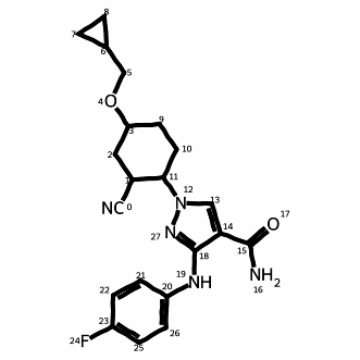 N#CC1CC(OCC2CC2)CCC1n1cc(C(N)=O)c(Nc2ccc(F)cc2)n1